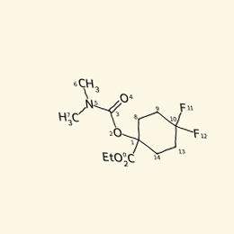 CCOC(=O)C1(OC(=O)N(C)C)CCC(F)(F)CC1